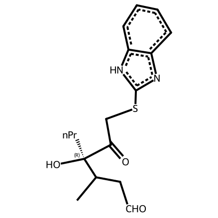 CCC[C@](O)(C(=O)CSc1nc2ccccc2[nH]1)C(C)CC=O